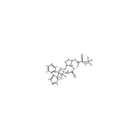 CN(CC1CCC(CO[Si](c2ccccc2)(c2ccccc2)C(C)(C)C)N1CC(=O)O)C(=O)OC(C)(C)C